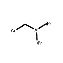 CC(=O)[CH2][Al]([CH](C)C)[CH](C)C